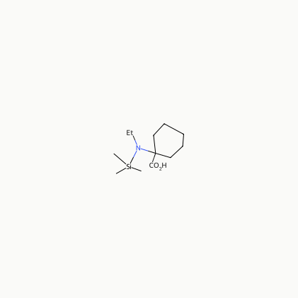 CCN(C1(C(=O)O)CCCCC1)[Si](C)(C)C